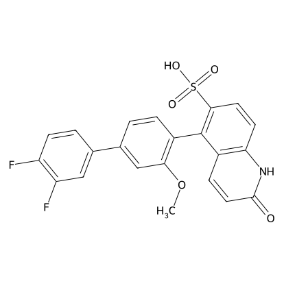 COc1cc(-c2ccc(F)c(F)c2)ccc1-c1c(S(=O)(=O)O)ccc2[nH]c(=O)ccc12